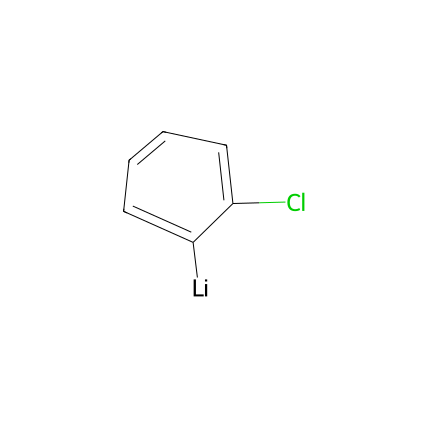 [Li][c]1ccccc1Cl